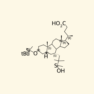 C[C@H](CCC(=O)O)[C@H]1CCC2C3C(CC[C@@]21C)[C@@]1(C)CC[C@@H](O[Si](C)(C)C(C)(C)C)C[C@H]1C[C@H]3CC(C)(C)[Si](C)(C)O